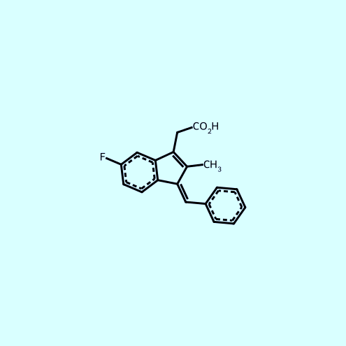 CC1=C(CC(=O)O)c2cc(F)ccc2/C1=C/c1ccccc1